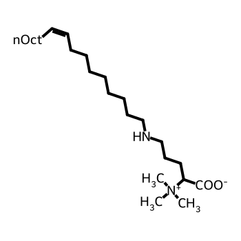 CCCCCCCC/C=C\CCCCCCCCNCCCC(C(=O)[O-])[N+](C)(C)C